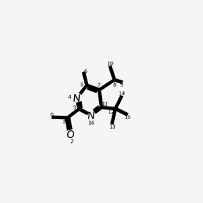 CC(=O)c1nc(C)c(C(C)C)c(C(C)(C)C)n1